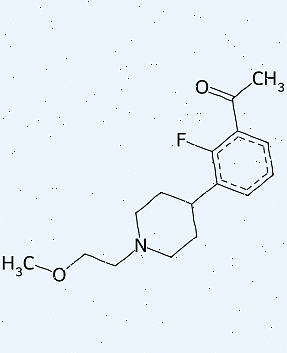 COCCN1CCC(c2cccc(C(C)=O)c2F)CC1